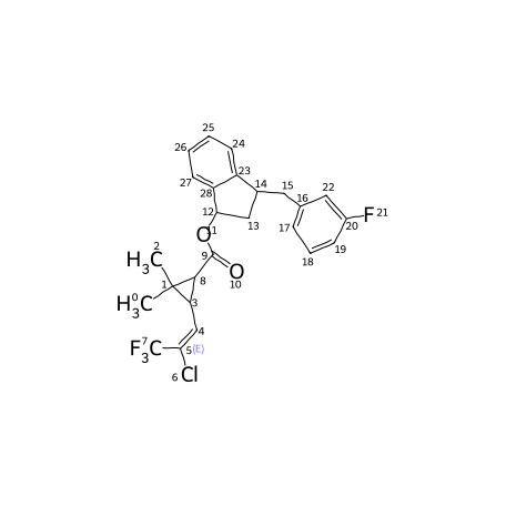 CC1(C)C(/C=C(/Cl)C(F)(F)F)C1C(=O)OC1CC(Cc2cccc(F)c2)c2ccccc21